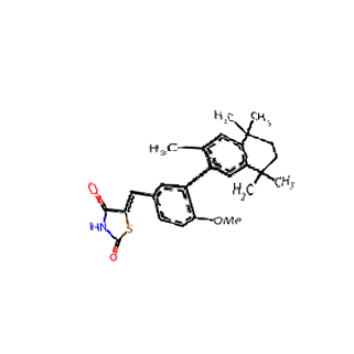 COc1ccc(/C=C2\SC(=O)NC2=O)cc1-c1cc2c(cc1C)C(C)(C)CCC2(C)C